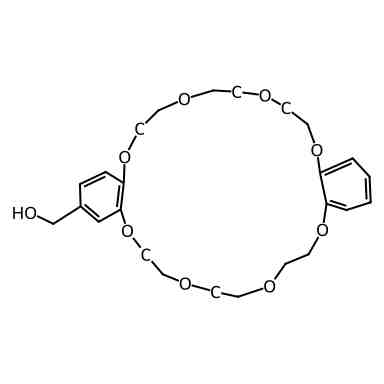 OCc1ccc2c(c1)OCCOCCOCCOc1ccccc1OCCOCCOCCO2